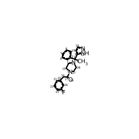 CC(c1ccccc1)(c1ccn[nH]1)N1CCN(C(=O)Cc2cccc(F)c2)CC1